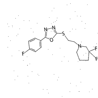 Fc1ccc(-c2nnc(SCCN3CCCC(F)(F)C3)o2)cc1